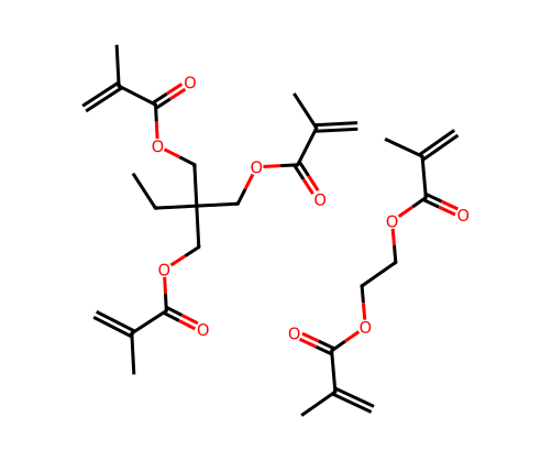 C=C(C)C(=O)OCC(CC)(COC(=O)C(=C)C)COC(=O)C(=C)C.C=C(C)C(=O)OCCOC(=O)C(=C)C